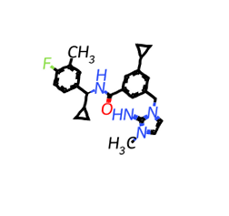 Cc1cc([C@@H](NC(=O)c2cc(Cn3ccn(C)c3=N)cc(C3CC3)c2)C2CC2)ccc1F